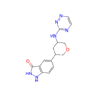 O=c1[nH][nH]c2ccc(C3COCC(Nc4nccnn4)C3)cc12